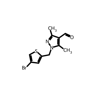 Cc1nn(Cc2cc(Br)cs2)c(C)c1C=O